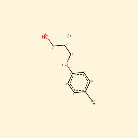 CC(=O)c1ccc(OC[C@@H](C)CO)cc1